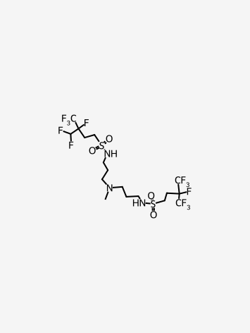 CN(CCCNS(=O)(=O)CCC(F)(C(F)F)C(F)(F)F)CCCNS(=O)(=O)CCC(F)(C(F)(F)F)C(F)(F)F